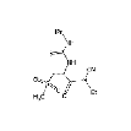 CCN(C#N)C(=O)C(CS(C)(=O)=O)NC(=S)NC(C)C